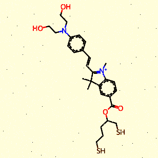 C[N+]1=C(/C=C/c2ccc(N(CCO)CCO)cc2)C(C)(C)c2cc(C(=O)OC(CS)CCCS)ccc21